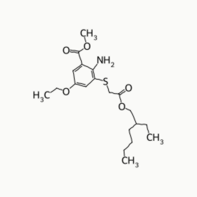 CCCCC(CC)COC(=O)CSc1cc(OCC)cc(C(=O)OC)c1N